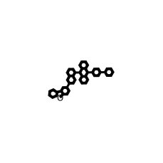 c1ccc(-c2ccc(-c3c4ccccc4c(-c4cccc5cc(-c6ccc7oc8ccccc8c7c6)ccc45)c4ccccc34)cc2)cc1